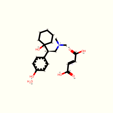 CN(C)C[C@@H](c1ccc(O)cc1)C1(O)CCCCC1.O.O=C(O)/C=C/C(=O)O